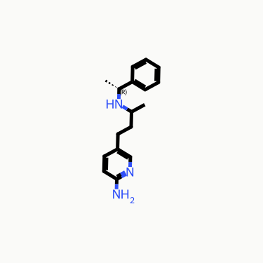 CC(CCc1ccc(N)nc1)N[C@H](C)c1ccccc1